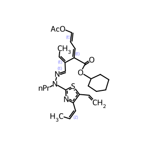 C=Cc1sc(N(CCC)/N=C/C(=C/C)C(=C\C=C\OC(C)=O)/C(=O)OC2CCCCC2)nc1/C=C\C